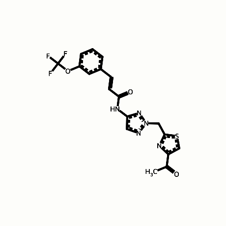 CC(=O)c1csc(Cn2ncc(NC(=O)C=Cc3cccc(OC(F)(F)F)c3)n2)n1